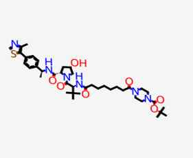 Cc1ncsc1-c1ccc([C@H](C)NC(=O)[C@@H]2C[C@@H](O)CN2C(=O)[C@@H](NC(=O)CCCCCCC(=O)N2CCN(C(=O)OC(C)(C)C)CC2)C(C)(C)C)cc1